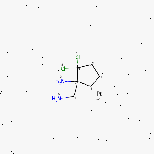 NCC1(N)CCCC1(Cl)Cl.[Pt]